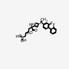 CN(c1ccc(-c2ccccc2F)c(F)c1)[C@H]1C[C@H]([C@@](N)(CCCCB(O)O)C(=O)O)C1